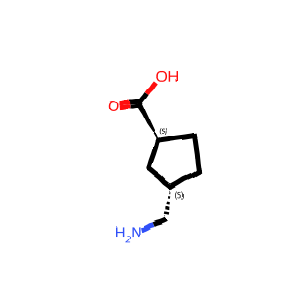 NC[C@H]1CC[C@H](C(=O)O)C1